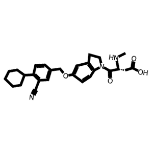 CN[C@H](CC(=O)O)C(=O)N1CCc2cc(OCc3ccc(C4CCCCC4)c(C#N)c3)ccc21